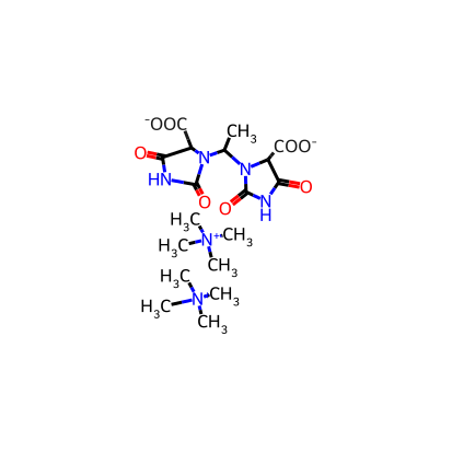 CC(N1C(=O)NC(=O)C1C(=O)[O-])N1C(=O)NC(=O)C1C(=O)[O-].C[N+](C)(C)C.C[N+](C)(C)C